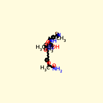 Cc1ncsc1-c1ccc(C2(NC(=O)[C@@H]3C[C@@H](O)CN3C(=O)[C@@H](NC(=O)CCCCCc3cccc(OC[C@@H](C)CCC(N)=O)c3)C(C)(C)C)CC2)cc1